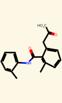 Cc1ccccc1NC(=O)c1c(C)cccc1CC(=O)C(=O)O